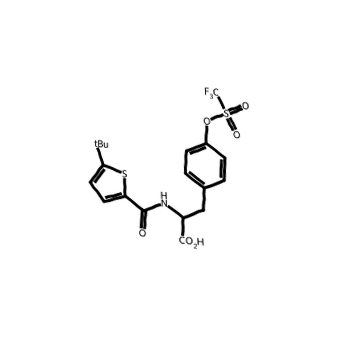 CC(C)(C)c1ccc(C(=O)NC(Cc2ccc(OS(=O)(=O)C(F)(F)F)cc2)C(=O)O)s1